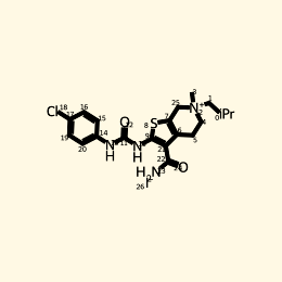 CC(C)C[N+]1(C)CCc2c(sc(NC(=O)Nc3ccc(Cl)cc3)c2C(N)=O)C1.[I-]